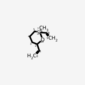 C=CC1CCC[Si](C)(C=C)O1